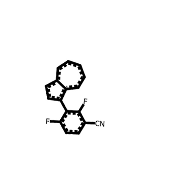 N#Cc1ccc(F)c(-c2ccc3cccccc2-3)c1F